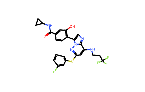 O=C(NC1CC1)c1ccc(-c2cnc3c(NCCC(F)(F)F)cc(Sc4cccc(F)c4)nn23)c(O)c1